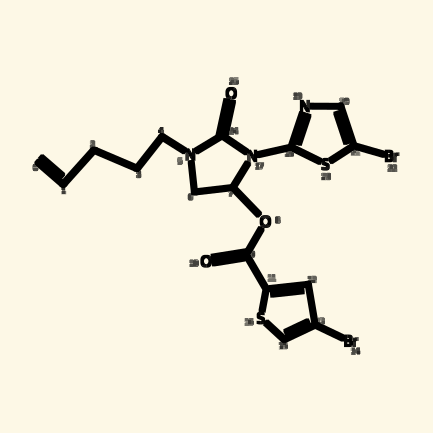 C=CCCCN1CC(OC(=O)c2cc(Br)cs2)N(c2ncc(Br)s2)C1=O